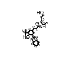 CCC(COCCO)NC(=O)CCc1cc(-n2nc3ccccc3n2)c(O)c(C(C)(C)C)c1